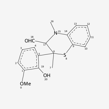 COc1cccc(C2(C)Sc3ccccc3N(C)C2C=O)c1O